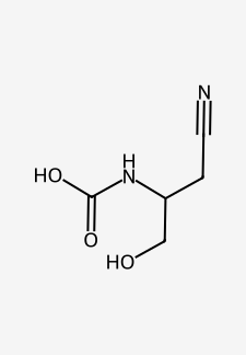 N#CCC(CO)NC(=O)O